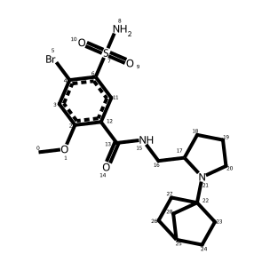 COc1cc(Br)c(S(N)(=O)=O)cc1C(=O)NCC1CCCN1C12CCC(CC1)C2